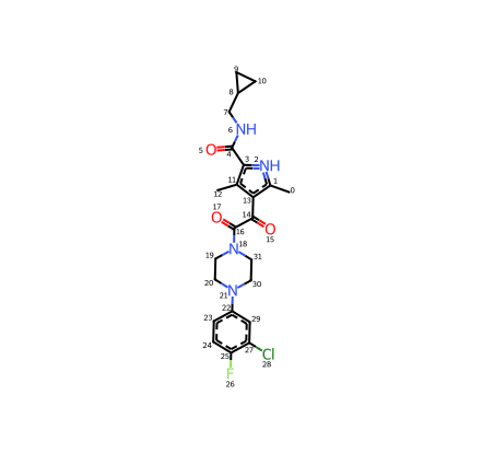 Cc1[nH]c(C(=O)NCC2CC2)c(C)c1C(=O)C(=O)N1CCN(c2ccc(F)c(Cl)c2)CC1